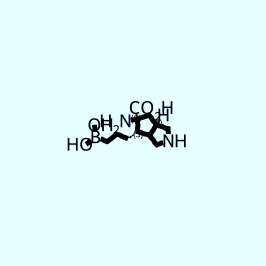 N[C@@]1(C(=O)O)C[C@H]2CNCC2[C@@H]1CCCB(O)O